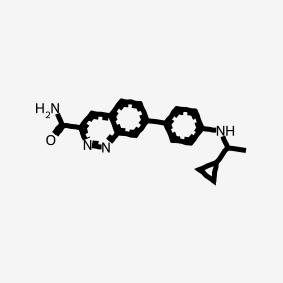 CC(Nc1ccc(-c2ccc3cc(C(N)=O)nnc3c2)cc1)C1CC1